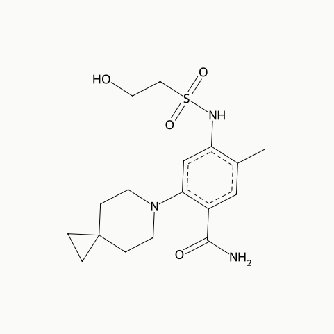 Cc1cc(C(N)=O)c(N2CCC3(CC2)CC3)cc1NS(=O)(=O)CCO